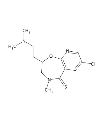 CN(C)CCC1CN(C)C(=S)c2cc(Cl)cnc2O1